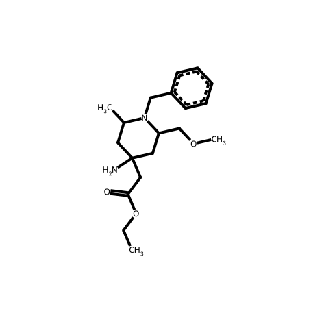 CCOC(=O)CC1(N)CC(C)N(Cc2ccccc2)C(COC)C1